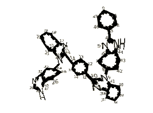 c1ccc(-c2nc3cc(-n4c(-c5ccc(-c6nc7ccccc7n6-c6ccc7[nH]cnc7c6)cc5)nc5ccccc54)ccc3[nH]2)cc1